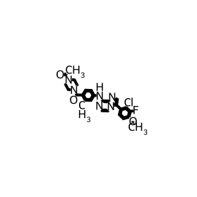 COc1ccc(-c2cnc3c(Nc4ccc(C(=O)N5CCN(C(C)=O)CC5)c(C)c4)nccn23)c(Cl)c1F